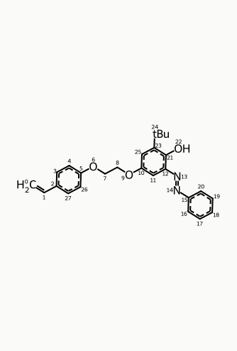 C=Cc1ccc(OCCOc2cc(N=Nc3ccccc3)c(O)c(C(C)(C)C)c2)cc1